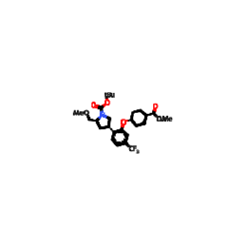 COC[C@@H]1C[C@@H](c2ccc(C(F)(F)F)cc2O[C@H]2CC[C@H](C(=O)OC)CC2)CN1C(=O)OC(C)(C)C